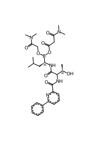 CC(C)C[C@H](NC(=O)C(NC(=O)c1cccc(-c2ccccc2)n1)[C@@H](C)O)B(OCC(=O)N(C)C)OC(=O)CC(=O)N(C)C